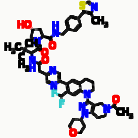 CC(=O)N1CCc2c(c(N3CCCc4cc(-c5cnc(CC(=O)N[C@H](C(=O)N6C[C@H](O)C[C@H]6C(=O)NCc6ccc(-c7scnc7C)cc6)C(C)(C)C)cn5)c(C(F)F)cc43)nn2C2CCOCC2)C1